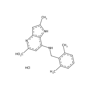 Cc1cc2nc(C(=O)O)cc(NCc3c(C)cccc3C)c2[nH]1.Cl